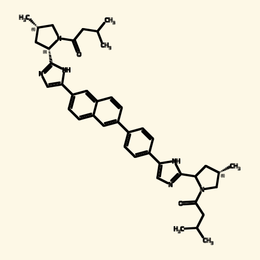 CC(C)CC(=O)N1C[C@@H](C)CC1c1ncc(-c2ccc(-c3ccc4cc(-c5cnc([C@@H]6C[C@H](C)CN6C(=O)CC(C)C)[nH]5)ccc4c3)cc2)[nH]1